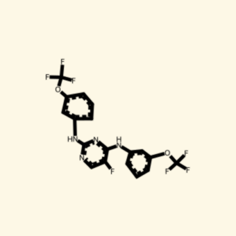 Fc1cnc(Nc2cccc(OC(F)(F)F)c2)nc1Nc1cccc(OC(F)(F)F)c1